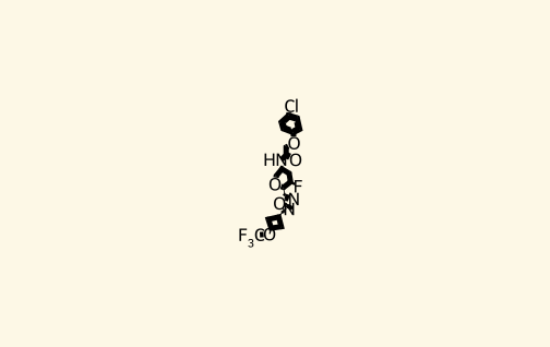 O=C(COc1ccc(Cl)cc1)N[C@@H]1CO[C@@H](c2nnc([C@H]3C[C@@H](OC(F)(F)F)C3)o2)[C@H](F)C1